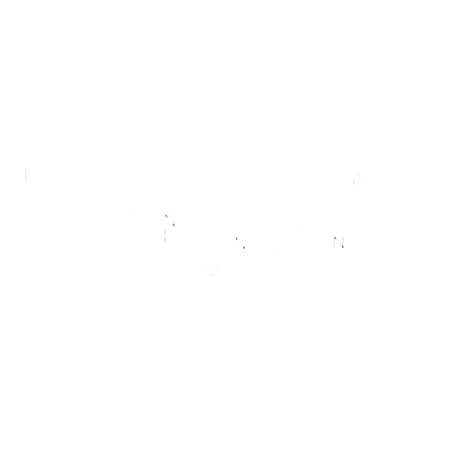 CC(Nc1ccc(F)cc1)c1ccc2c([n+]1[O-])CCCN2C(=O)C1CC1